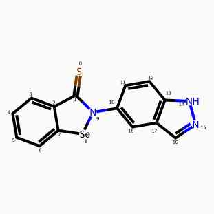 S=c1c2ccccc2[se]n1-c1ccc2[nH]ncc2c1